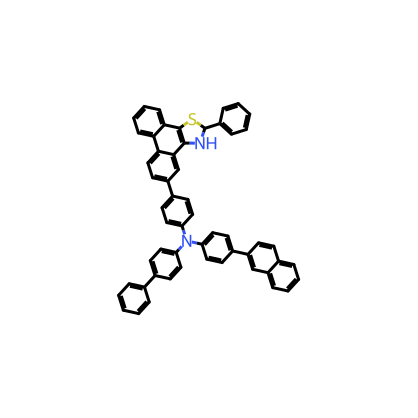 c1ccc(-c2ccc(N(c3ccc(-c4ccc5ccccc5c4)cc3)c3ccc(-c4ccc5c(c4)c4c(c6ccccc65)SC(c5ccccc5)N4)cc3)cc2)cc1